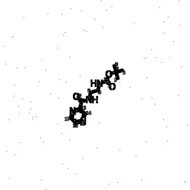 CC(C)(C)OC(=O)NCCNC(=O)c1cnccn1